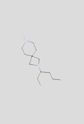 CCCC(CC)N1CC2(CCN(C)CC2)C1